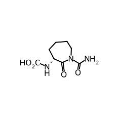 NC(=O)N1CCCC[C@@H](NC(=O)O)C1=O